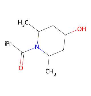 CC(C)C(=O)N1C(C)CC(O)CC1C